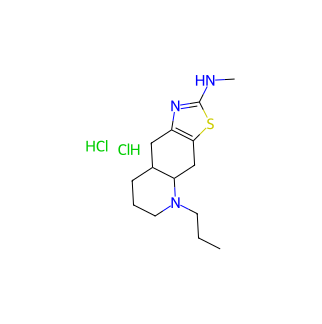 CCCN1CCCC2Cc3nc(NC)sc3CC21.Cl.Cl